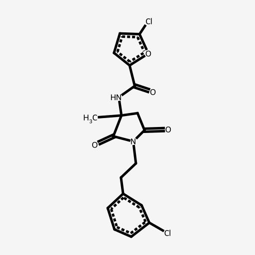 CC1(NC(=O)c2ccc(Cl)o2)CC(=O)N(CCc2cccc(Cl)c2)C1=O